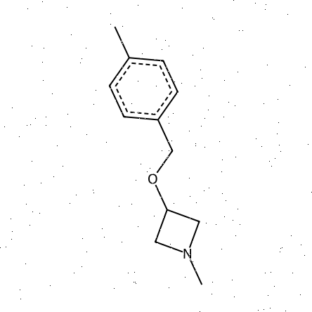 Cc1ccc(COC2CN(C)C2)cc1